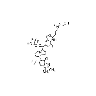 Cc1nc2c(Cl)c(-c3cccn4c(C(=O)c5cc(F)c(NC(=O)/C=C/CN6CCC[C@H]6CO)c(F)c5)ccc34)c(C(F)(F)F)cc2n1C.O=C(O)C(F)(F)F